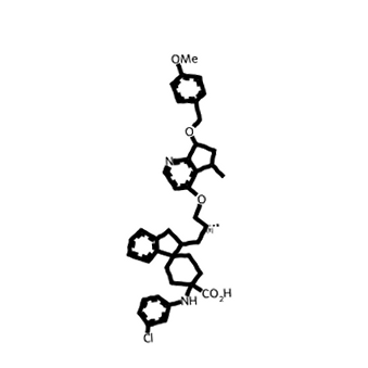 COc1ccc(COC2CC(C)c3c(OC[C@H](C)CC4Cc5ccccc5C45CCC(Nc4cccc(Cl)c4)(C(=O)O)CC5)ccnc32)cc1